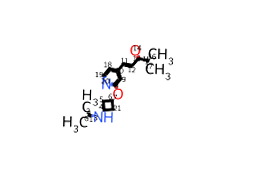 CC(C)N[C@H]1C[C@H](Oc2cc(/C=C/C(=O)C(C)C)ccn2)C1